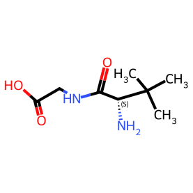 CC(C)(C)[C@H](N)C(=O)NCC(=O)O